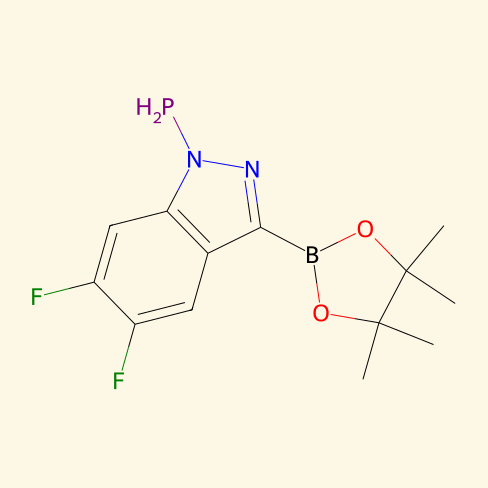 CC1(C)OB(c2nn(P)c3cc(F)c(F)cc23)OC1(C)C